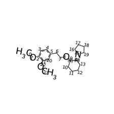 COc1ccc(CCO[C@@H]2CCCC[C@H]2N2CCCC2)cc1OC